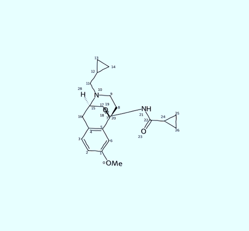 COc1ccc2c(c1)[C@]13CCN(CC4CC4)[C@H](C2)C1OCC(NC(=O)C1CC1)C3